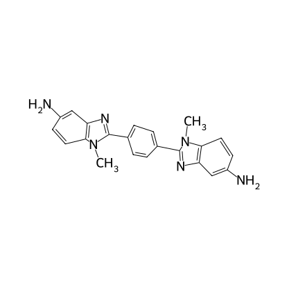 Cn1c(-c2ccc(-c3nc4cc(N)ccc4n3C)cc2)nc2cc(N)ccc21